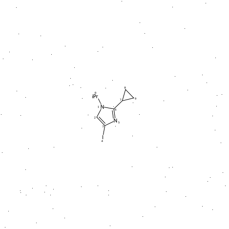 CC(C)n1cc(I)nc1C1CC1